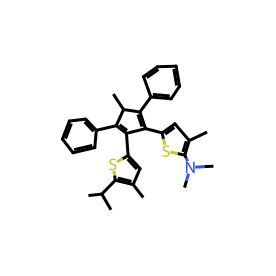 Cc1cc(C2=C(c3ccccc3)C(C)C(c3ccccc3)=C2c2cc(C)c(N(C)C)s2)sc1C(C)C